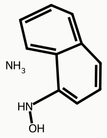 N.ONc1cccc2ccccc12